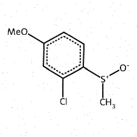 COc1ccc([S+](C)[O-])c(Cl)c1